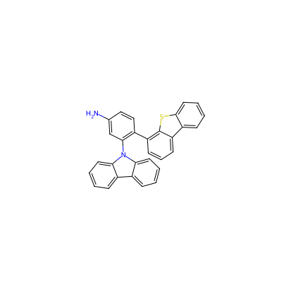 Nc1ccc(-c2cccc3c2sc2ccccc23)c(-n2c3ccccc3c3ccccc32)c1